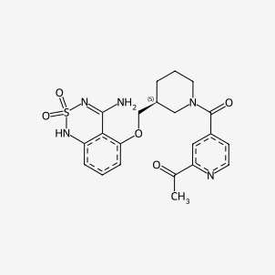 CC(=O)c1cc(C(=O)N2CCC[C@H](COc3cccc4c3C(N)=NS(=O)(=O)N4)C2)ccn1